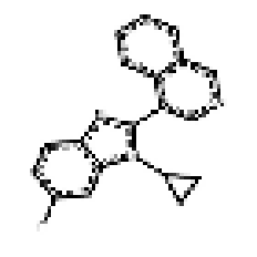 Fc1ccc2nc(-c3cncc4ccccc34)n(C3CC3)c2c1